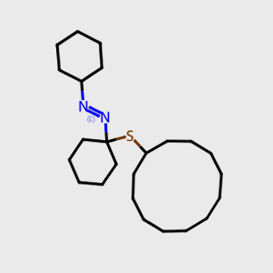 C1CCCCCC(SC2(/N=N/C3CCCCC3)CCCCC2)CCCCC1